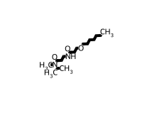 CCCCCCCOCCC(=O)NCCC(=O)N(C)C(C)C